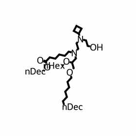 CCCCCCCCCCCCCCCCOCC(CN(CCCCCC(=O)OCCCCCCCCCC)CCN(CCO)C1CCC1)OCCCCCC